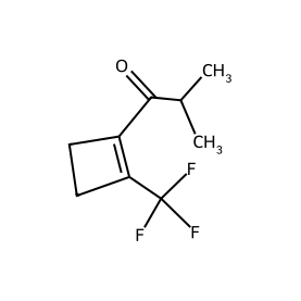 CC(C)C(=O)C1=C(C(F)(F)F)CC1